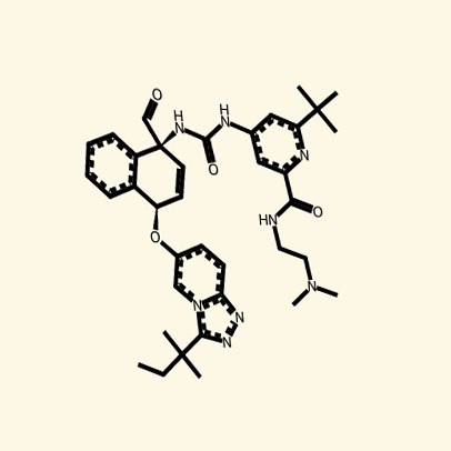 CCC(C)(C)c1nnc2ccc(O[C@@H]3C=C[C@](C=O)(NC(=O)Nc4cc(C(=O)NCCN(C)C)nc(C(C)(C)C)c4)c4ccccc43)cn12